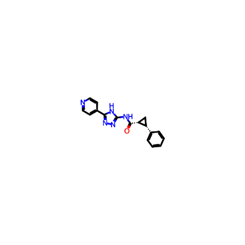 O=C(Nc1nnc(-c2ccncc2)[nH]1)[C@@H]1C[C@@H]1c1ccccc1